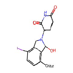 COc1ccc(I)c2c1C(O)N(C1CCC(=O)NC1=O)C2